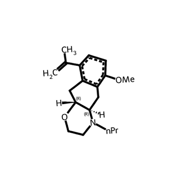 C=C(C)c1ccc(OC)c2c1C[C@H]1OCCN(CCC)[C@@H]1C2